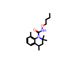 CCCCONC(=O)N1c2c(C)cccc2C(C)CC1(C)C